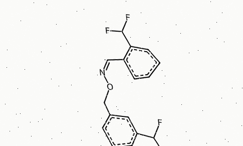 FC(F)c1cccc(CO/N=[C]\c2ccccc2C(F)F)c1